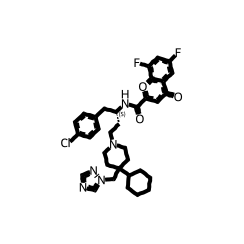 O=C(N[C@H](CCN1CCC(Cn2cncn2)(C2CCCCC2)CC1)Cc1ccc(Cl)cc1)c1cc(=O)c2cc(F)cc(F)c2o1